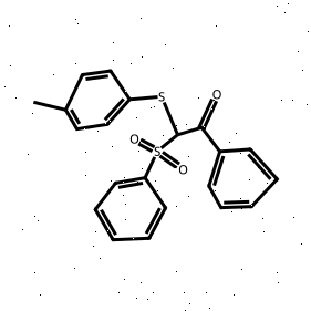 Cc1ccc(SC(C(=O)c2ccccc2)S(=O)(=O)c2ccccc2)cc1